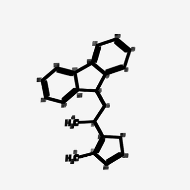 CC1=C(C(C)CC2c3ccccc3-c3ccccc32)CC=C1